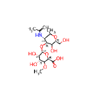 C=C(C)N[C@@H]1C(C)O[C@@H](CO)C(O)[C@H]1O[C@H]1O[C@@H](C(=O)O)C(OC)[C@H](O)[C@@H]1O